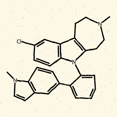 CN1CCc2c(n(-c3ccccc3-c3ccc4c(ccn4C)c3)c3ccc(Cl)cc23)CC1